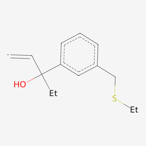 [CH]=CC(O)(CC)c1cccc(CSCC)c1